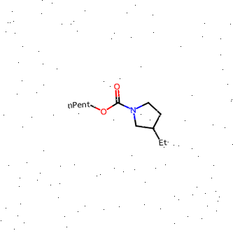 C[CH]C1CCN(C(=O)OCCCCC)C1